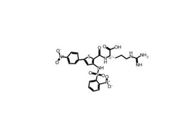 N=C(N)NCCC[C@H](NC(=O)c1sc(-c2ccc([N+](=O)[O-])cc2)cc1NS(=O)(=O)c1ccccc1[N+](=O)[O-])C(=O)O